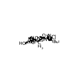 CC(NC(=O)c1ncnc(NCCO)c1Cl)c1ncc(C(=O)Nc2cc(C(C)(C)C)c(Cl)nn2)s1